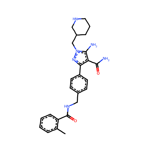 Cc1ccccc1C(=O)NCc1ccc(-c2nn(CC3CCCNC3)c(N)c2C(N)=O)cc1